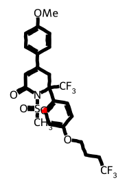 COc1ccc(C2=CC(=O)N(S(C)(=O)=O)C(c3ccc(OCCCC(F)(F)F)cc3)(C(F)(F)F)C2)cc1